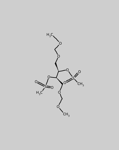 COCOC[C@@H](OS(C)(=O)=O)[C@@H](COCOC)OS(C)(=O)=O